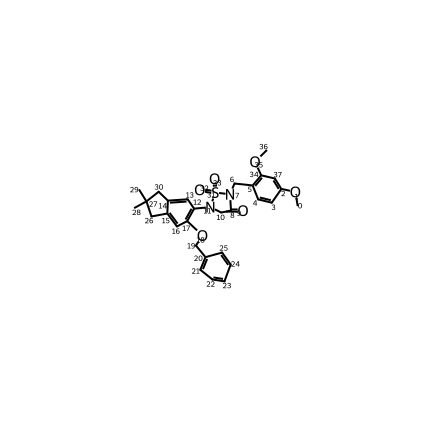 COc1ccc(CN2C(=O)CN(c3cc4c(cc3OCc3ccccc3)CC(C)(C)C4)S2(=O)=O)c(OC)c1